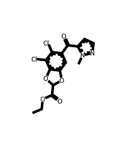 CCOC(=O)C1Oc2cc(C(=O)c3ccnn3C)c(Cl)c(Cl)c2O1